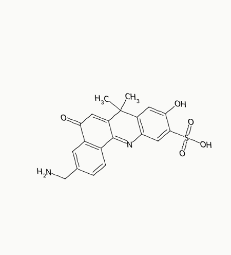 CC1(C)C2=CC(=O)c3cc(CN)ccc3C2=Nc2cc(S(=O)(=O)O)c(O)cc21